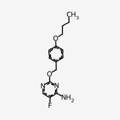 CCCCOc1ccc(COc2ncc(F)c(N)n2)cc1